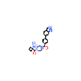 Cn1cc2ccc(-c3ccc(C(=O)N4CCN(C(=O)C5(N)CCC5)CC4)cc3)cc2n1